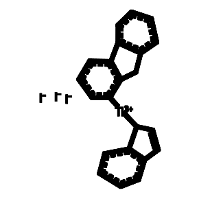 C1=C[CH]([Ti+3][c]2cccc3c2Cc2ccccc2-3)c2ccccc21.[I-].[I-].[I-]